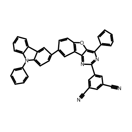 N#Cc1cc(C#N)cc(-c2nc(-c3ccccc3)c3oc4ccc(-c5ccc6c(c5)c5ccccc5n6-c5ccccc5)cc4c3n2)c1